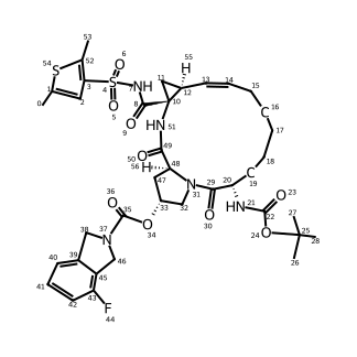 Cc1cc(S(=O)(=O)NC(=O)[C@@]23C[C@H]2/C=C\CCCCC[C@H](NC(=O)OC(C)(C)C)C(=O)N2C[C@H](OC(=O)N4Cc5cccc(F)c5C4)C[C@H]2C(=O)N3)c(C)s1